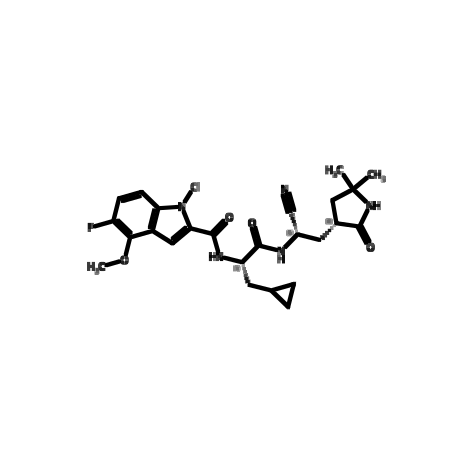 COc1c(F)ccc2c1cc(C(=O)N[C@@H](CC1CC1)C(=O)N[C@H](C#N)C[C@@H]1CC(C)(C)NC1=O)n2Cl